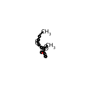 CCCCCC1CCC(c2ccc(C(F)(F)Oc3ccc(-c4ccc5c6c(c(C(=O)OCC)cc5c4)C=CC(c4ccccc4)(c4ccc(N5CCCCC5)cc4)O6)cc3)cc2)CC1